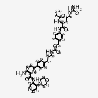 CC(C)CC(=O)N[C@@H](CCCNC(N)=O)C(=O)Nc1ccc(COC(=O)NCCCc2ccc(-c3cnc(N)c(C(=O)Nc4cnccc4N4CCOCC4)n3)cc2)cc1